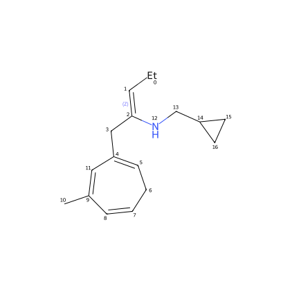 CC/C=C(/CC1=CCC=CC(C)=C1)NCC1CC1